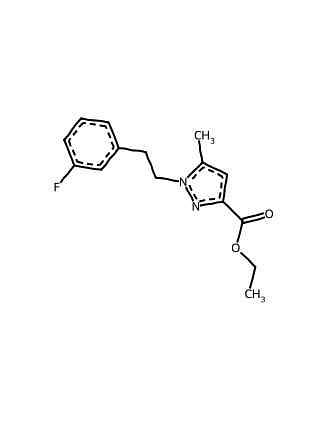 CCOC(=O)c1cc(C)n(CCc2cccc(F)c2)n1